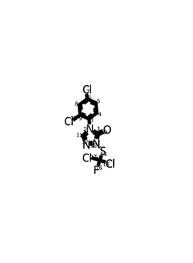 O=c1n(-c2ccc(Cl)cc2Cl)cnn1SC(F)(Cl)Cl